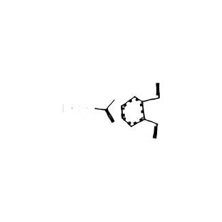 C=C(C)C(=O)O.C=Cc1ccccc1C=C